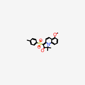 COc1cccc2c1C=CC1=C(S(=O)(=O)c3ccc(C)cc3)C(=O)C(C)(C)N12